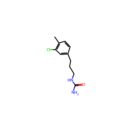 Cc1ccc(CCCNC(N)=O)cc1Cl